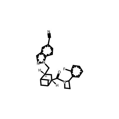 N#Cc1ccc2c(cnn2C[C@@H]2C[C@H](C(=O)N3CCC3c3ccccc3F)C3CC2C3)c1